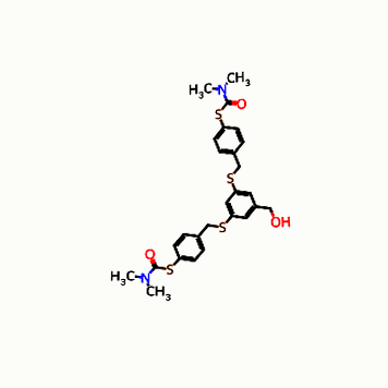 CN(C)C(=O)Sc1ccc(CSc2cc(CO)cc(SCc3ccc(SC(=O)N(C)C)cc3)c2)cc1